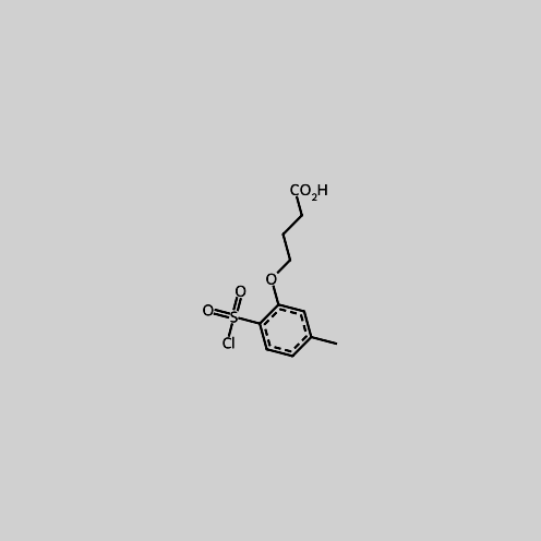 Cc1ccc(S(=O)(=O)Cl)c(OCCCC(=O)O)c1